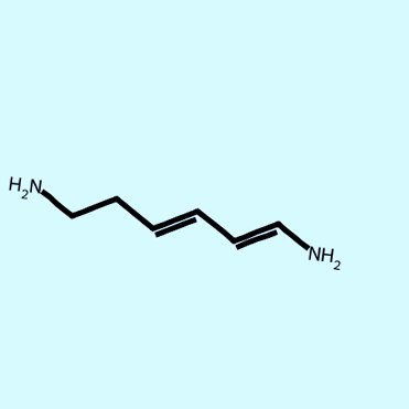 NC=CC=CCCN